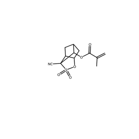 C=C(C)C(=O)OC1C2CC3OS(=O)(=O)C1(C#N)C3C2